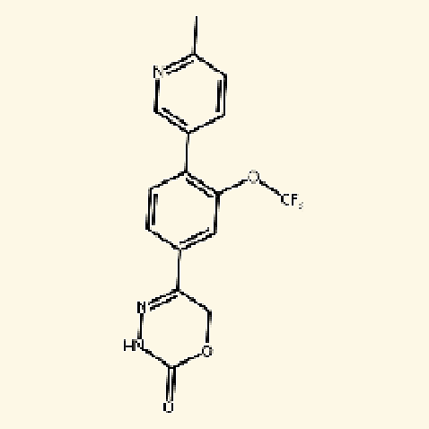 Cc1ccc(-c2ccc(C3=NNC(=O)OC3)cc2OC(F)(F)F)cn1